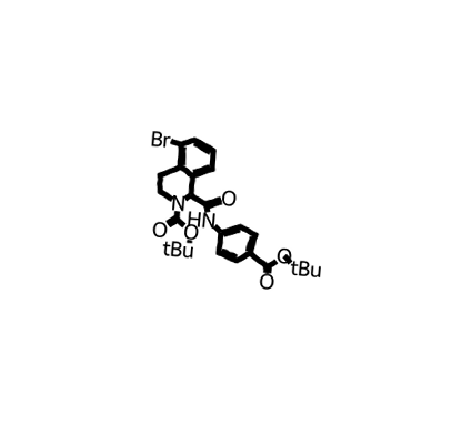 CC(C)(C)OC(=O)c1ccc(NC(=O)C2c3cccc(Br)c3CCN2C(=O)OC(C)(C)C)cc1